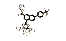 CCOC(=O)c1cc(B2OC(C)(C)C(C)(C)O2)c2ccc(-c3ccc(C(F)(F)F)cc3)cc2c1